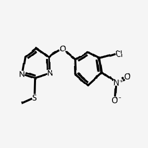 CSc1nccc(Oc2ccc([N+](=O)[O-])c(Cl)c2)n1